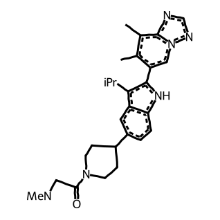 CNCC(=O)N1CCC(c2ccc3[nH]c(-c4cn5ncnc5c(C)c4C)c(C(C)C)c3c2)CC1